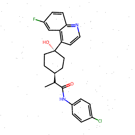 CC(C(=O)Nc1ccc(Cl)cc1)[C@H]1CC[C@@](O)(c2ccnc3ccc(F)cc32)CC1